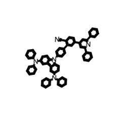 N#Cc1ccc(-c2cc(-c3ccccc3)nc(-c3ccccc3)c2)cc1-c1ccc(-n2c3ccc(N(c4ccccc4)c4ccccc4)cc3c3cc(N(c4ccccc4)c4ccccc4)ccc32)cc1